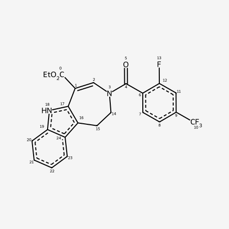 CCOC(=O)C1=CN(C(=O)c2ccc(C(F)(F)F)cc2F)CCc2c1[nH]c1ccccc21